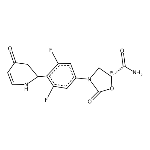 NC(=O)[C@H]1CN(c2cc(F)c(C3CC(=O)C=CN3)c(F)c2)C(=O)O1